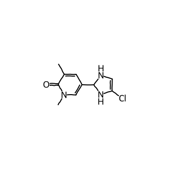 Cc1cc(C2NC=C(Cl)N2)cn(C)c1=O